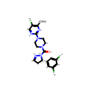 COc1nc(N2CCN(C(=O)N3N=CC[C@H]3c3cc(F)cc(F)c3)CC2)ncc1F